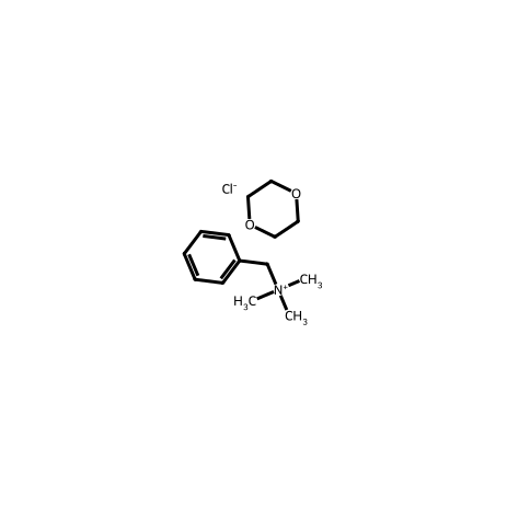 C1COCCO1.C[N+](C)(C)Cc1ccccc1.[Cl-]